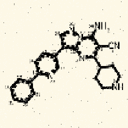 N#Cc1c(C2CCNCC2)nc2c(-c3ccc(-c4ccccc4)nc3)cnn2c1N